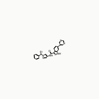 CCC(c1ccccc1)n1cc(NC(=O)c2n[nH]c3cc(-c4cncnc4)ccc23)cn1